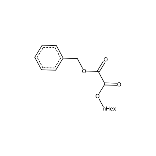 CCCCCCOC(=O)C(=O)OCc1ccccc1